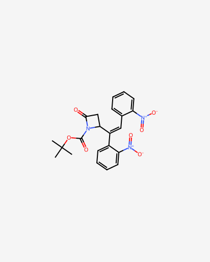 CC(C)(C)OC(=O)N1C(=O)CC1C(=Cc1ccccc1[N+](=O)[O-])c1ccccc1[N+](=O)[O-]